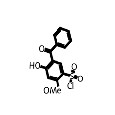 COc1cc(O)c(C(=O)c2ccccc2)cc1S(=O)(=O)Cl